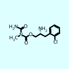 CN(C(N)=O)C(=O)OC[C@H](N)Cc1ccccc1Cl